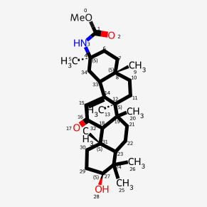 COC(=O)N[C@@]1(C)CC[C@]2(C)CC[C@]3(C)C(=CC(=O)C4C3(C)CCC3C(C)(C)[C@@H](O)CC[C@@]34C)C2C1